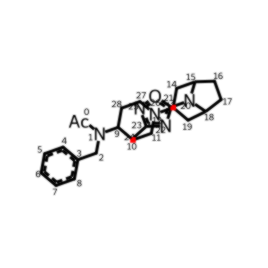 CC(=O)N(Cc1ccccc1)C1CCN(C2CC3CCC(C2)N3c2nc(C)no2)CC1